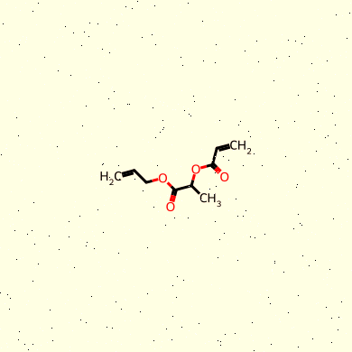 C=CCOC(=O)C(C)OC(=O)C=C